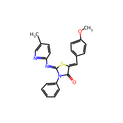 COc1ccc(/C=C2\S/C(=N\c3ccc(C)cn3)N(c3ccccc3)C2=O)cc1